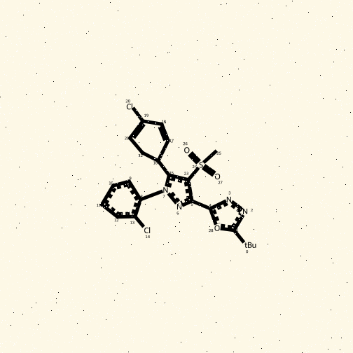 CC(C)(C)c1nnc(-c2nn(-c3ccccc3Cl)c(C3C=CC(Cl)=CC3)c2S(C)(=O)=O)o1